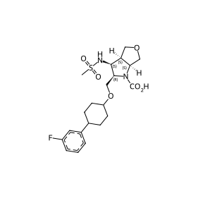 CS(=O)(=O)N[C@H]1[C@H]2COC[C@H]2N(C(=O)O)[C@H]1COC1CCC(c2cccc(F)c2)CC1